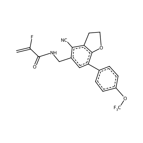 C=C(F)C(=O)NCc1cc(-c2ccc(OC(F)(F)F)cc2)c2c(c1C#N)CCO2